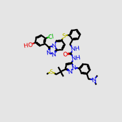 CSCC(C)(C)c1cc(NC(=O)NCc2ccccc2Sc2ccc3nnc(-c4cc(O)ccc4Cl)n3c2)n(-c2cccc(CN(C)C)c2)n1